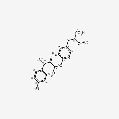 CCOC(Cc1ccc(OC(CC)C(=O)N(CC)c2ccc(CC)cc2)cc1)C(=O)O